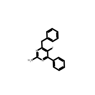 Nc1nc(Cc2ccccc2)c(F)c(-c2ccccc2)n1